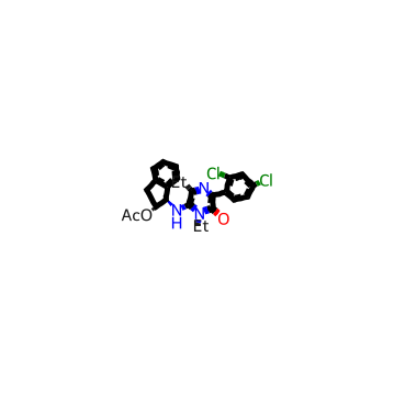 CCc1nc(-c2ccc(Cl)cc2Cl)c(=O)n(CC)c1N[C@@H]1c2ccccc2C[C@@H]1OC(C)=O